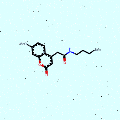 COc1ccc2c(CC(=O)NCCCSC)cc(=O)oc2c1